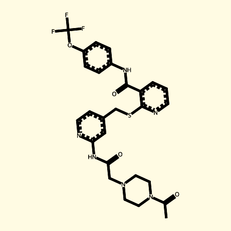 CC(=O)N1CCN(CC(=O)Nc2cc(CSc3ncccc3C(=O)Nc3ccc(OC(F)(F)F)cc3)ccn2)CC1